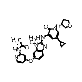 CC(=O)Nc1cc(Oc2ccc3nc(Nc4cc(C5CC5)cn(C[C@@H]5CCOC5)c4=O)n(C)c3c2)ccn1